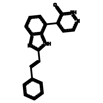 O=c1[nH]nccc1-c1cccc2nc(C=Cc3ccccc3)[nH]c12